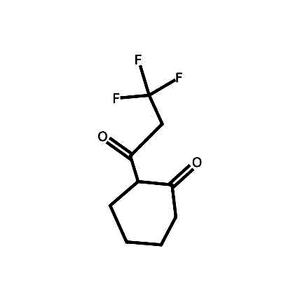 O=C1CCCCC1C(=O)CC(F)(F)F